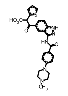 CN1CCN(c2ccc(C(=O)Nc3n[nH]c4ccc(C(=O)C(C(=O)O)c5cccs5)cc34)cc2)CC1